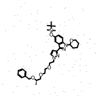 C[C@H](COCCOCCn1ccc(-c2nn(C3CCCCO3)c3ccc(O[Si](C)(C)C(C)(C)C)cc23)n1)OCc1ccccc1